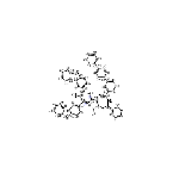 CCC1CC(C2=CC=CCC2)=NC(c2cccc(-c3ccc(C4=CC=CCC4)cc3)c2)=NC1C(/C=C(\CI)c1ccc2sc3ccccc3c2c1)=C/Cc1ccc2sc3ccccc3c2c1